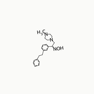 CN1CCN(C/C(=N\O)c2cccc(CCc3ccccc3)c2)CC1